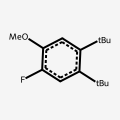 COc1cc(C(C)(C)C)c(C(C)(C)C)cc1F